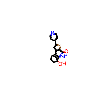 O=c1[nH]c2c(c3cc(-c4ccncc4)sc13)C1CCC2(O)CC1